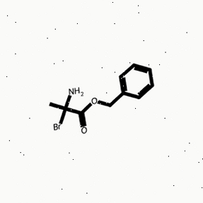 CC(N)(Br)C(=O)OCc1ccccc1